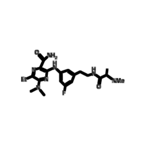 CCc1nc(C(N)=O)c(Nc2cc(F)cc(CCNC(=O)C(C)NC)c2)nc1N(C)C